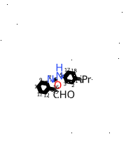 CC(C)c1ccc(NC2=Nc3ccccc3C(C=O)O2)cc1